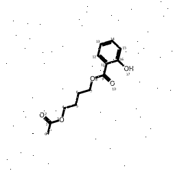 CC(=O)OCCCCOC(=O)c1ccccc1O